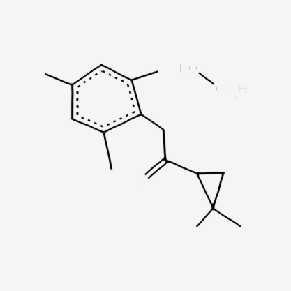 Cc1cc(C)c(CC(=O)C2CC2(C)C)c(C)c1.O=C(O)O